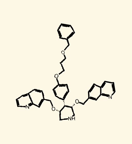 c1ccc(COCCCOc2ccc([C@H]3[C@@H](OCc4ccc5cccnc5c4)CNC[C@H]3OCc3ccc4cccnc4c3)cc2)cc1